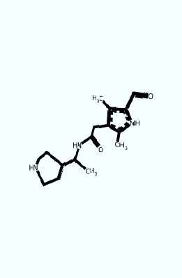 Cc1[nH]c(C=O)c(C)c1CC(=O)NC(C)C1CCNCC1